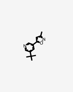 Cc1cc(-c2cncc(C(C)(C)C)c2)on1